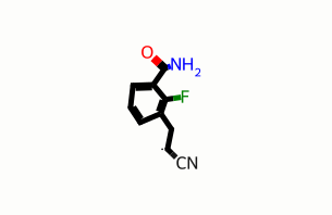 N#C[CH]Cc1cccc(C(N)=O)c1F